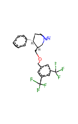 FC(F)(F)c1cc(COC[C@@H]2CNCC[C@H]2c2ccccc2)cc(C(F)(F)F)c1